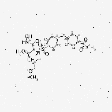 COCCCN(C(C(=O)NO)C(C)C)S(=O)(=O)c1ccc(Oc2ccc(S(C)(=O)=O)cc2)cc1